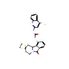 COc1cc(NC(=O)Nc2cccc3c2C2CC4(CCN2C3=O)SCCS4)nc2ccccc12